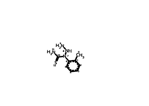 Cc1ccccc1N(NN)C(N)=S